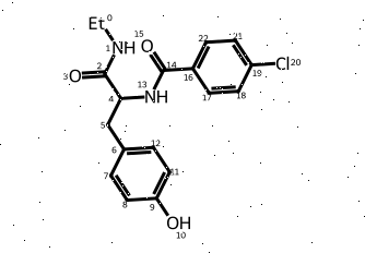 CCNC(=O)C(Cc1ccc(O)cc1)NC(=O)c1ccc(Cl)cc1